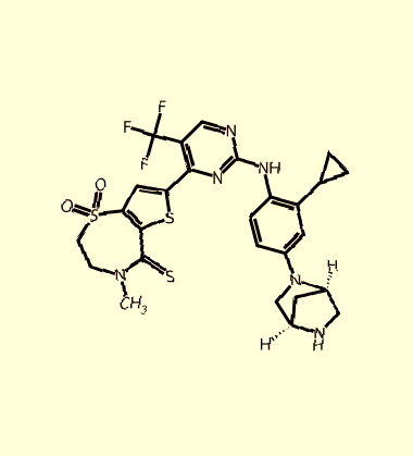 CN1CCS(=O)(=O)c2cc(-c3nc(Nc4ccc(N5C[C@H]6C[C@@H]5CN6)cc4C4CC4)ncc3C(F)(F)F)sc2C1=S